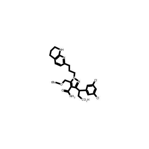 CC(C)(C)OCc1c(C(N)=O)c(C(CC(=O)O)c2cc(Cl)cc(Cl)c2)nn1CCCc1ccc2c(n1)NCCC2